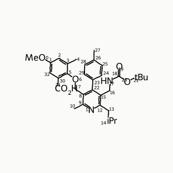 COc1cc(C)c(OCc2c(C)nc(CC(C)C)c(CNC(=O)OC(C)(C)C)c2-c2ccc(C)cc2)c(C(=O)O)c1